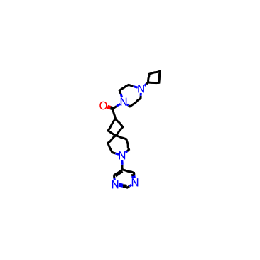 O=C(C1CC2(CCN(c3cncnc3)CC2)C1)N1CCN(C2CCC2)CC1